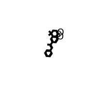 CC(=Cc1ccccc1)c1ccc2c(c1)C(C)(C)CCS2(=O)=O